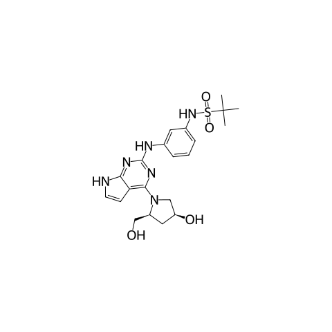 CC(C)(C)S(=O)(=O)Nc1cccc(Nc2nc(N3C[C@@H](O)C[C@H]3CO)c3cc[nH]c3n2)c1